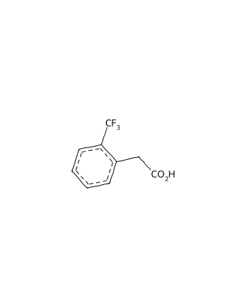 O=C(O)Cc1ccccc1C(F)(F)F